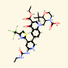 CCNC(=O)Nc1cc(-c2nc(C(F)(F)F)cs2)c(-c2ccc3c(c2)c(=O)c(C(=O)OCC)cn3CC2C(C(C)(C)C)OCCN2C(=O)O)cn1